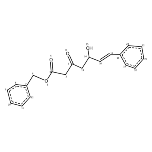 O=C(CC(=O)OCc1ccccc1)CC(O)/C=C/c1ccccc1